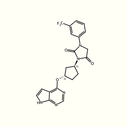 O=C1CN(c2cccc(C(F)(F)F)c2)C(=O)N1[C@H]1CC[C@H](Oc2ncnc3[nH]ccc23)C1